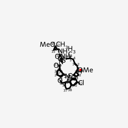 CO[C@H]1/C=C/C[C@H](C)C[S@@](=O)(NC(=O)NC2C[C@]2(C)OC)=NC(=O)c2ccc3c(c2)N(C[C@@H]2CC[C@H]21)C[C@@]1(CCCc2cc(Cl)ccc21)CO3